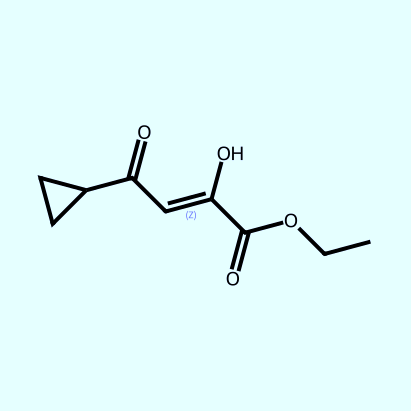 CCOC(=O)/C(O)=C/C(=O)C1CC1